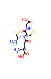 Cl.NCCS.N[C@@H](CCC(=O)N[C@@H](CS)C(=O)NCC(=O)O)C(=O)O